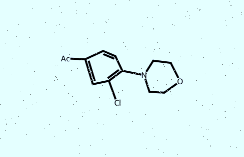 CC(=O)c1ccc(N2CCOCC2)c(Cl)c1